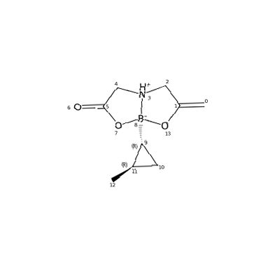 C=C1C[NH+]2CC(=O)O[B-]2([C@@H]2C[C@H]2C)O1